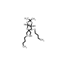 CCCCOCC1(CO)O[C@@H]2OC(C)(C)O[C@@H]2[C@@H]1OCCCC